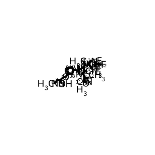 CNCC(O)COc1cccc(-c2nc(-c3c(C)noc3C)c(C)c(N(C)c3cnc(C(F)(F)F)nc3)n2)c1